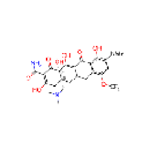 CNc1cc(OC(F)(F)F)c2c(c1O)C(=O)C1=C(O)[C@]3(O)C(=O)C(C(N)=O)=C(O)C[C@]3(CN(C)C)CC1C2